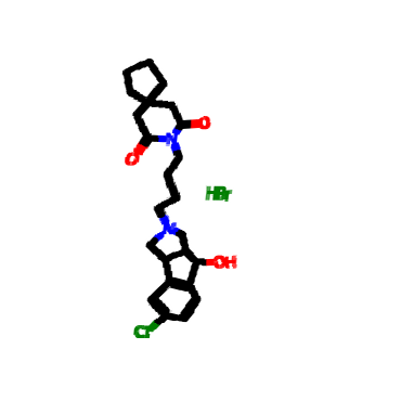 Br.O=C1CC2(CCCC2)CC(=O)N1CCCCN1CC2c3cc(Cl)ccc3C(O)C2C1